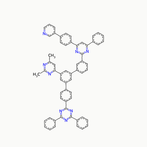 Cc1cc(-c2cc(-c3ccc(-c4nc(-c5ccccc5)nc(-c5ccccc5)n4)cc3)cc(-c3cccc(-c4nc(-c5ccccc5)cc(-c5ccc(-c6cccnc6)cc5)n4)c3)c2)nc(C)n1